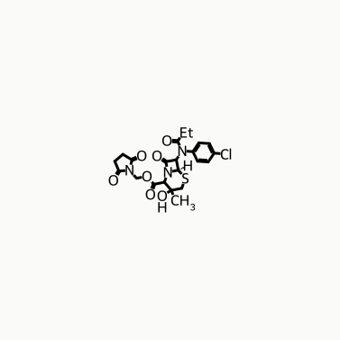 CCC(=O)N(c1ccc(Cl)cc1)C1C(=O)N2C(C(=O)OCN3C(=O)CCC3=O)C(C)(O)CS[C@H]12